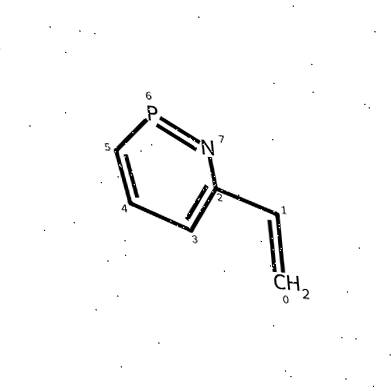 C=Cc1cccpn1